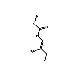 CCOC(=O)N/N=C(\N)CCl